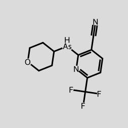 N#Cc1ccc(C(F)(F)F)nc1[AsH]C1CCOCC1